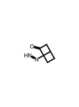 N=NC12CCC1CC2=O